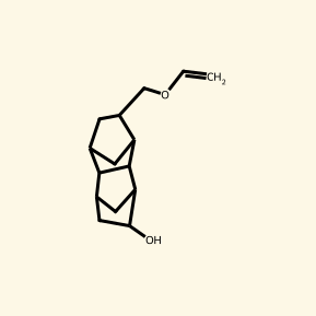 C=COCC1CC2CC1C1C3CC(CC3O)C21